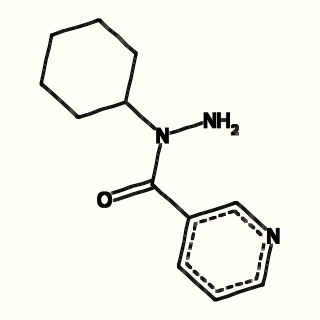 NN(C(=O)c1cccnc1)C1CCCCC1